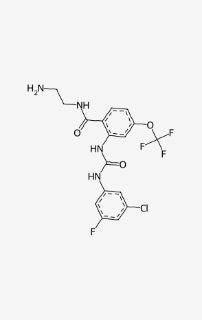 NCCNC(=O)c1ccc(OC(F)(F)F)cc1NC(=O)Nc1cc(F)cc(Cl)c1